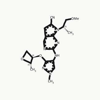 COC[C@H](C)n1c(C#N)cc2cnc(Nc3cn(C)nc3O[C@@H]3CO[C@H]3C)nc21